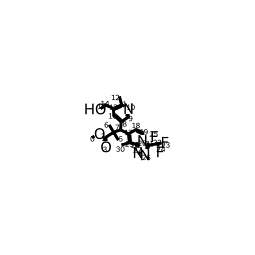 COC(=O)C(C)(C)C(c1cnc(C)c(CO)c1)c1ccn2c(C(F)(F)F)nnc2c1C